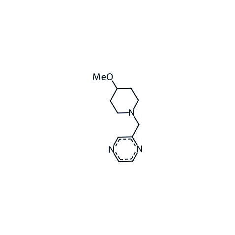 COC1CCN(Cc2cnccn2)CC1